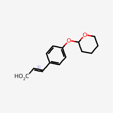 O=C(O)/C=C/c1ccc(OC2CCCCO2)cc1